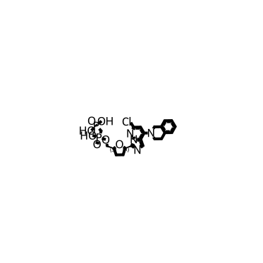 O=P(O)(O)CP(=O)(O)OC[C@@H]1CC[C@H](c2ncc3c(N4CCc5ccccc5C4)cc(Cl)nn23)O1